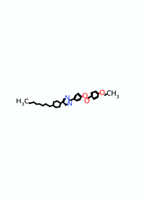 CCCCCCCCC1CCC(c2cnc(-c3ccc(OC(=O)c4ccc(OCC)cc4)cc3)nc2)CC1